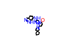 N=C(Cn1nc(N2CCC3(CCCC3)C2)ccc1=O)Nc1ccc2cncnc2c1